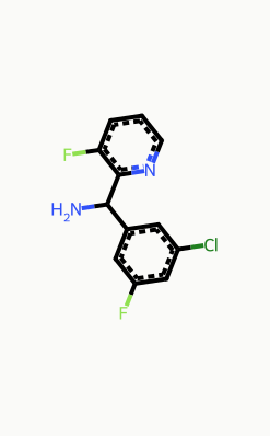 NC(c1cc(F)cc(Cl)c1)c1ncccc1F